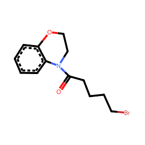 O=C(CCCCBr)N1CCOc2ccccc21